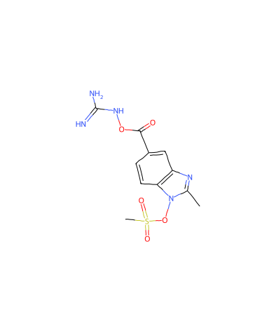 Cc1nc2cc(C(=O)ONC(=N)N)ccc2n1OS(C)(=O)=O